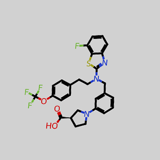 O=C(O)[C@@H]1CCN(c2cccc(CN(CCc3ccc(OC(F)(F)F)cc3)c3nc4cccc(F)c4s3)c2)C1